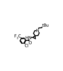 CC(C)(C)CCN1CCC2(CC1)CC2NC(=O)c1cc(C(F)(F)F)ccc1Cl